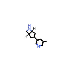 Cc1cncc(C2=C[C@H]3NC[C@H]3C2)c1